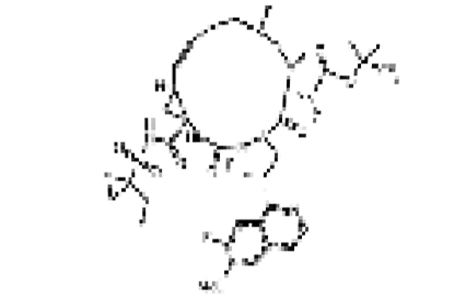 COc1cc2ccnc([C@@H]3C[C@H]4C(=O)N[C@]5(C(=O)NS(=O)(=O)C6(CF)CC6)C[C@H]5/C=C\CC[C@@H](C)C[C@@H](C)[C@H](N(O)C(=O)OC(C)(C)C(F)(F)F)C(=O)N4C3)c2cc1F